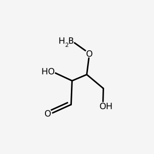 BOC(CO)C(O)C=O